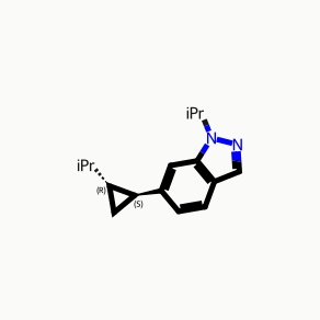 CC(C)[C@H]1C[C@@H]1c1ccc2cnn(C(C)C)c2c1